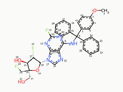 COc1ccc(C(Nc2nc(F)nc3c2ncn3[C@@H]2O[C@@](CO)(CF)[C@@H](O)[C@@H]2F)(c2ccccc2)c2ccccc2)cc1